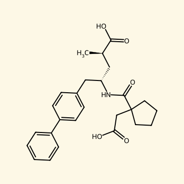 C[C@H](C[C@@H](Cc1ccc(-c2ccccc2)cc1)NC(=O)C1(CC(=O)O)CCCC1)C(=O)O